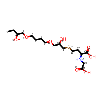 CCC(O)COCCCCOCC(O)CSCCC(NCC(=O)O)C(=O)O